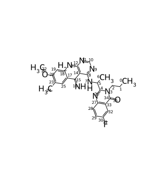 CCCn1c(C(C)Nc2ncnc(N)c2C(=N)c2ccc(OC)c(C)c2)nc2ccc(F)cc2c1=O